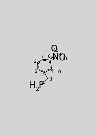 Cc1c(CP)cccc1[N+](=O)[O-]